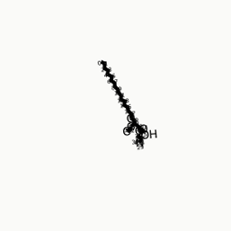 CCCCCCCCCCCCCCCCCCOCC(COP(=O)(O)CCN(C)C)OC=O